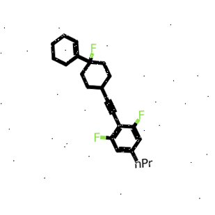 CCCc1cc(F)c(C#CC2CCC(F)(C3=CCCCC3)CC2)c(F)c1